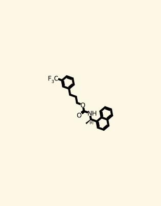 C[C@@H](NC(=O)OCCCc1cccc(C(F)(F)F)c1)c1cccc2ccccc12